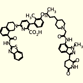 Cc1c(O[C@@H](C)CCC2CCN(CC(=O)Nc3cccc4c(C5CCC(=O)NC5=O)nn(C)c34)CC2)cccc1-c1ccc(N2CCc3cccc(C(=O)Nc4nc5ccccc5s4)c3C2)nc1C(=O)O